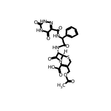 CC(=O)OCC1=C(C(=O)O)N2C(=O)[C@H](NC(=O)C(NC(=O)c3n[nH]c(=O)[nH]c3=O)c3ccccc3)[C@H]2SC1